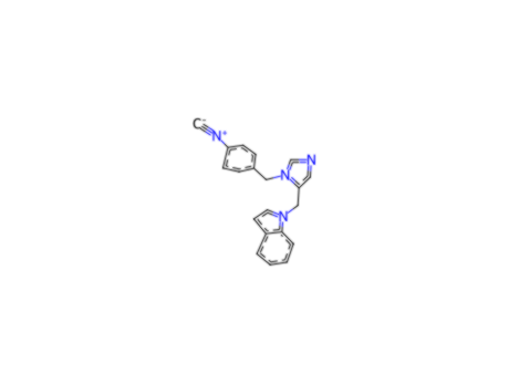 [C-]#[N+]c1ccc(Cn2cncc2Cn2ccc3ccccc32)cc1